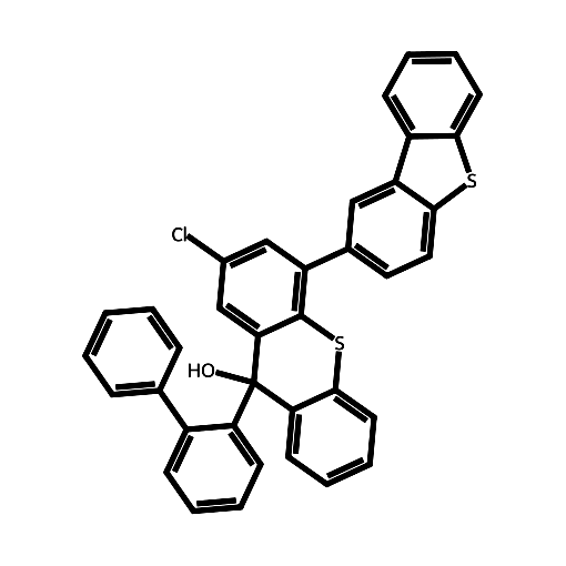 OC1(c2ccccc2-c2ccccc2)c2ccccc2Sc2c(-c3ccc4sc5ccccc5c4c3)cc(Cl)cc21